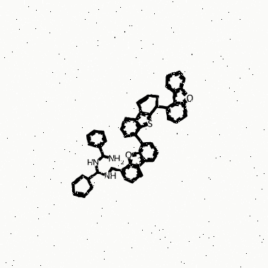 NC(NC(NCc1cccc2c1oc1c(-c3cccc4c5c(sc34)C(c3cccc4oc6ccccc6c34)CC=C5)cccc12)C1C=CC=CC1)c1ccccc1